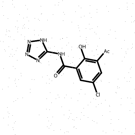 CC(=O)c1cc(Cl)cc(C(=O)Nc2nnn[nH]2)c1O